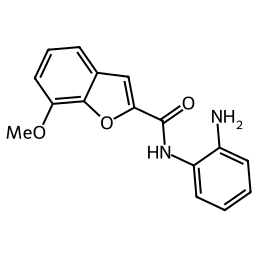 COc1cccc2cc(C(=O)Nc3ccccc3N)oc12